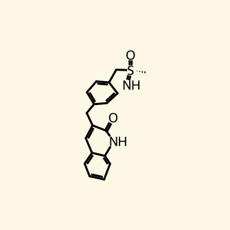 C[S@@](=N)(=O)Cc1ccc(Cc2cc3ccccc3[nH]c2=O)cc1